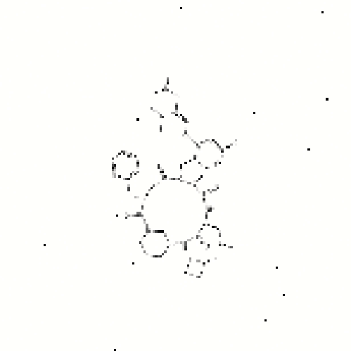 COC[C@@H]1NC(=O)[C@H](C)N(Cc2ccc(Cl)cc2O/N=C(/CN(C)C)N(C)C)C(=O)C[C@@H](Cc2ccccn2)C(=O)N2CCC[C@@](C[C@H]3CCC3Cl)(C2)NC1=O